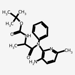 Cc1ccc(N)c(N(C(=O)C(C)NC(=O)OC(C)(C)C)c2ccccc2)n1